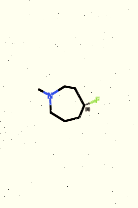 CN1CCC[C@@H](F)CC1